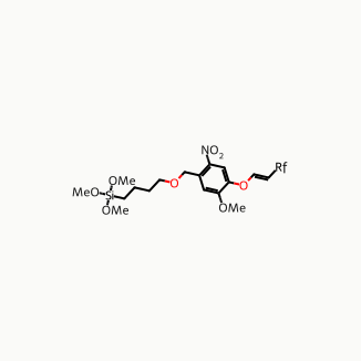 COc1cc(COCCCC[Si](OC)(OC)OC)c([N+](=O)[O-])cc1O/C=[CH]/[Rf]